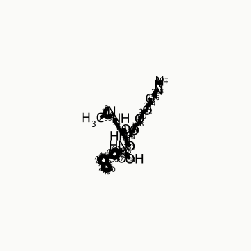 Cc1ccnc(NCCCC(=O)N[C@@H](CCOCCOCCOCCOCCN=[N+]=[N-])C(=O)N[C@H](CC(=O)O)c2ccc(-c3cccc4ccccc34)cc2)c1